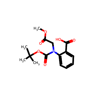 COC(=O)CN(C(=O)OC(C)(C)C)c1ccccc1C(=O)O